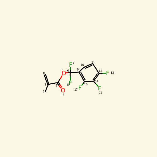 C=C(C)C(=O)OC(F)(F)c1ccc(F)c(F)c1F